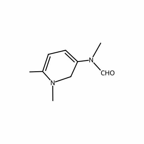 CC1=CC=C(N(C)C=O)CN1C